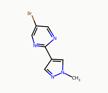 Cn1cc(-c2ncc(Br)cn2)cn1